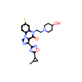 CC1CC1c1nc(-c2ncn3c2c(=O)n(CCN2CCC(O)CC2)c2cc(F)ccc23)no1